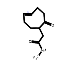 CNC(=O)CC1CC/C=C/CCC1=O